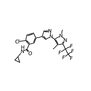 Cc1c(C(F)(F)C(F)(F)F)nn(C)c1-n1cc(-c2ccc(Cl)c(C(=O)NC3CC3)c2)cn1